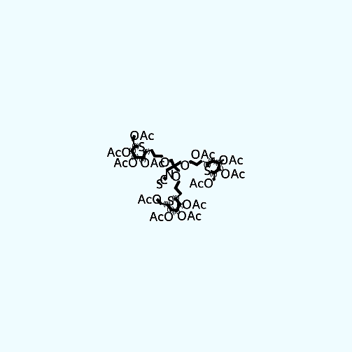 CC(=O)OC[C@H]1S[C@H](CCCOCC(CN=C=S)(COCCC[C@@H]2S[C@H](COC(C)=O)[C@@H](OC(C)=O)[C@H](OC(C)=O)[C@H]2OC(C)=O)COCCC[C@@H]2S[C@H](COC(C)=O)[C@@H](OC(C)=O)[C@H](OC(C)=O)[C@H]2OC(C)=O)[C@@H](OC(C)=O)[C@@H](OC(C)=O)[C@@H]1OC(C)=O